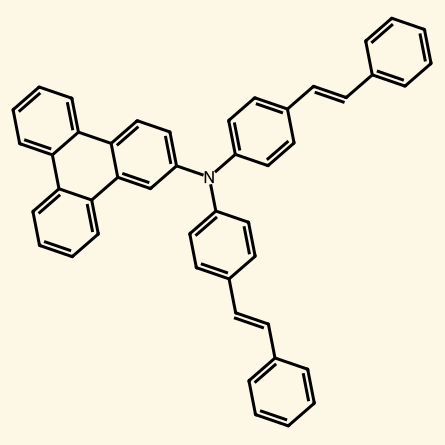 C(=C\c1ccc(N(c2ccc(/C=C/c3ccccc3)cc2)c2ccc3c4ccccc4c4ccccc4c3c2)cc1)/c1ccccc1